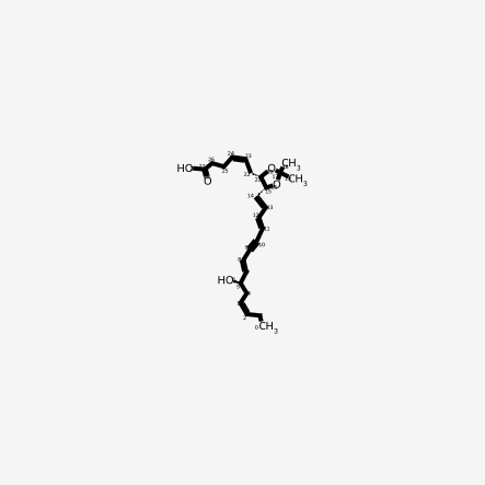 CC/C=C\C[C@@H](O)/C=C/C#C/C=C/C=C/[C@H]1OC(C)(C)O[C@H]1C/C=C\CCC(=O)O